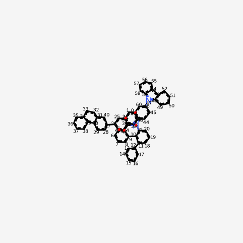 c1ccc(-c2ccccc2-c2c(-c3ccccc3)cccc2N(c2ccc(-c3ccc4c(ccc5ccccc54)c3)cc2)c2ccc(-n3c4ccccc4c4ccccc43)cc2)cc1